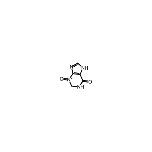 O=C1NC[N+](=O)c2nc[nH]c21